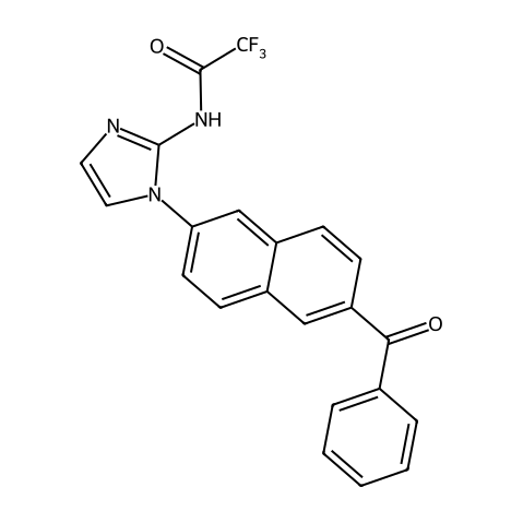 O=C(c1ccccc1)c1ccc2cc(-n3ccnc3NC(=O)C(F)(F)F)ccc2c1